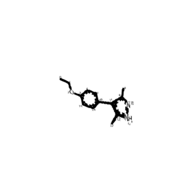 CCOc1ccc(-c2c(C)n[nH]c2C)cc1